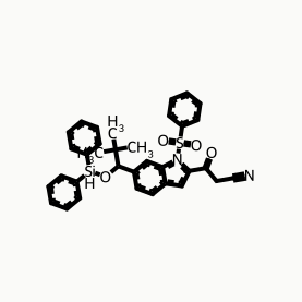 CC(C)(C)C(O[SiH](c1ccccc1)c1ccccc1)c1ccc2cc(C(=O)CC#N)n(S(=O)(=O)c3ccccc3)c2c1